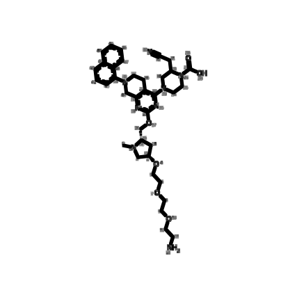 CN1C[C@H](OCCOCCOCCN)C[C@H]1COc1nc2c(c(N3CCN(C(=O)O)C(CC#N)C3)n1)CCN(c1cccc3ccccc13)C2